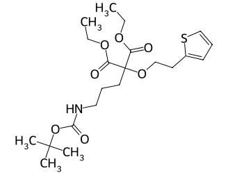 CCOC(=O)C(CCCNC(=O)OC(C)(C)C)(OCCc1cccs1)C(=O)OCC